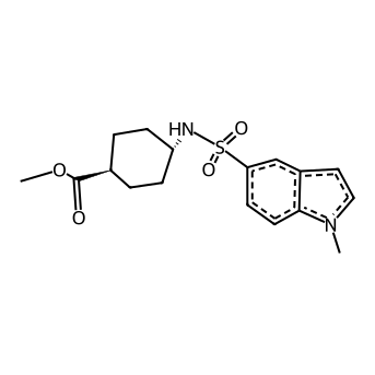 COC(=O)[C@H]1CC[C@H](NS(=O)(=O)c2ccc3c(ccn3C)c2)CC1